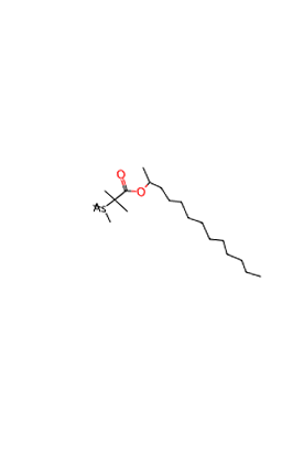 CCCCCCCCCCCC(C)OC(=O)C(C)(C)[As](C)C